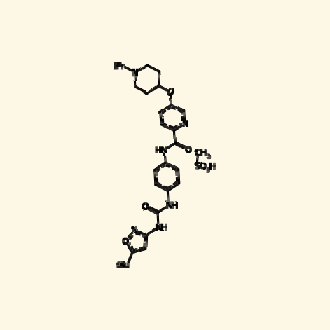 CC(C)N1CCC(Oc2ccc(C(=O)Nc3ccc(NC(=O)Nc4cc(C(C)(C)C)on4)cc3)nc2)CC1.CS(=O)(=O)O